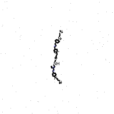 C=CC(/C=C/c1ccc(N(C)CCCN(C)C)cc1)=C\CNCCSSCC[n+]1ccc(/C=C/Cc2ccc(N(C)CCCN(C)C)cc2)cc1